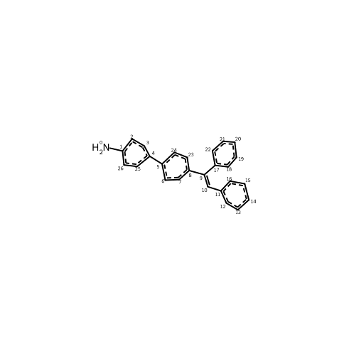 Nc1ccc(-c2ccc(C(=Cc3ccccc3)c3ccccc3)cc2)cc1